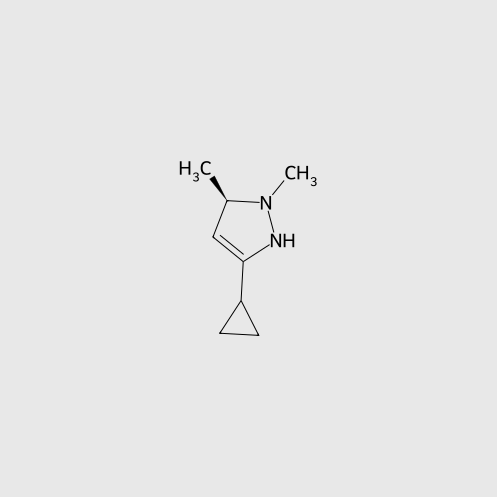 C[C@@H]1C=C(C2CC2)NN1C